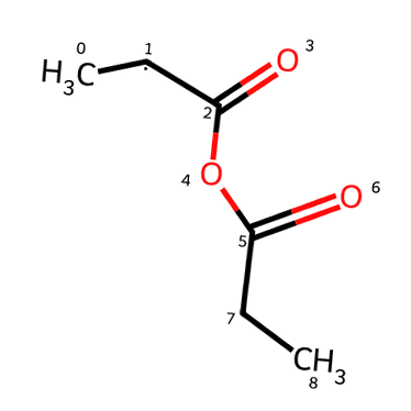 C[CH]C(=O)OC(=O)CC